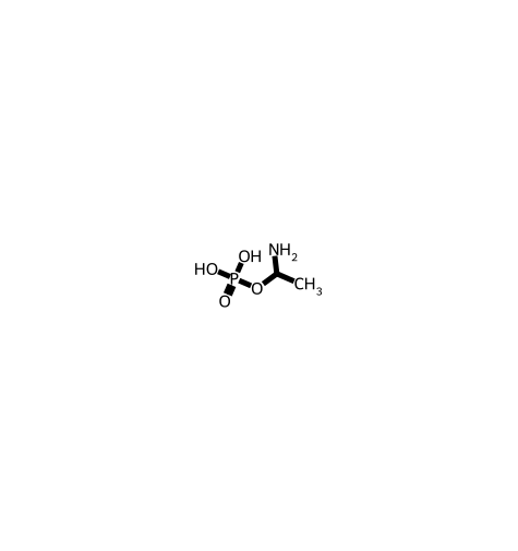 CC(N)OP(=O)(O)O